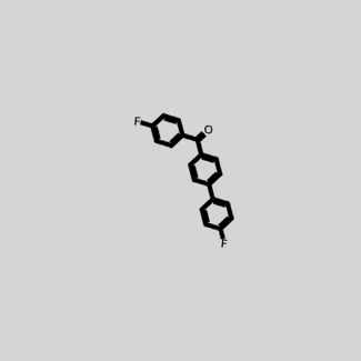 O=C(c1ccc(F)cc1)c1ccc(-c2ccc(F)cc2)cc1